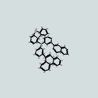 c1cc(-c2ccc3ccccc3c2)cc(N(c2cccc(-c3cc4ccccc4c4ccccc34)c2)c2cccc3oc4ccccc4c23)c1